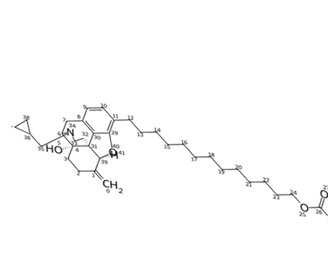 C=C1CC[C@@]2(O)C3Cc4ccc(CCCCCCCCCCCCCOC(=O)O)c5c4[C@@]2(CCN3CC2CC2)[C@H]1O5